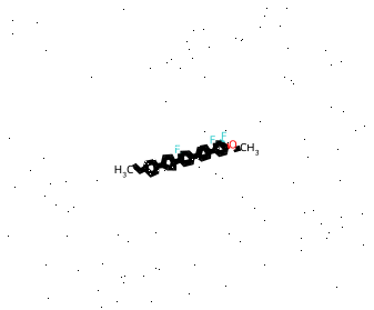 CCCC1CCC(C2CC=C(c3ccc(-c4ccc(-c5ccc(OCC)c(F)c5F)cc4)cc3F)CC2)CC1